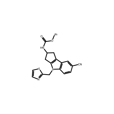 CC(C)OC(=O)NC1Cc2c(n(Cc3nccs3)c3ccc(C#N)cc23)C1